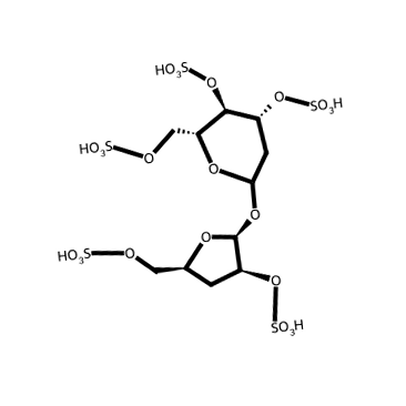 O=S(=O)(O)OC[C@@H]1C[C@H](OS(=O)(=O)O)[C@H](OC2C[C@@H](OS(=O)(=O)O)[C@H](OS(=O)(=O)O)[C@@H](COS(=O)(=O)O)O2)O1